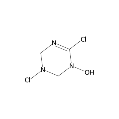 ON1CN(Cl)CN=C1Cl